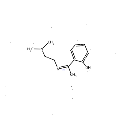 C/C(=N/CCN(C)C)c1ccccc1O